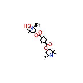 CC(C)C1CC(OC(=O)C2CCC(C(=O)OC3CC(C(C)C)N(O)C(C)(C)C3)CC2)CC(C)(C)N1C